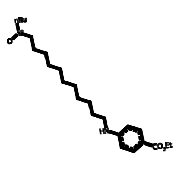 CCCC[S+]([O-])CCCCCCCCCCCNc1ccc(C(=O)OCC)cc1